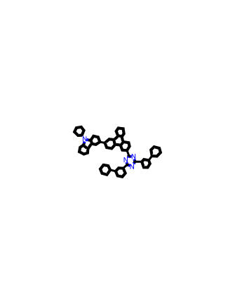 c1ccc(-c2cccc(-c3nc(-c4cccc(-c5ccccc5)c4)nc(-c4ccc5c6ccccc6c6cc(-c7ccc8c(c7)c7ccccc7n8-c7ccccc7)ccc6c5c4)n3)c2)cc1